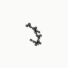 c1ccc(-c2ccc(-c3nc(-n4c5ccccc5c5cc(-c6ccc7c(c6)c6ccc(-c8ccc9nc(-n%10c%11ccccc%11c%11cc(-c%12ccc%13c(c%12)c%12ccccc%12n%13-c%12ccccc%12)ccc%11%10)nc(-c%10ccccc%10)c9c8)cc6n7-c6ccccc6)ccc54)nc4ccccc34)cc2)cc1